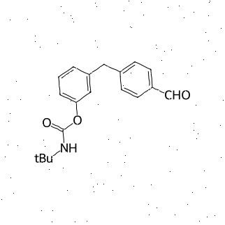 CC(C)(C)NC(=O)Oc1cccc(Cc2ccc(C=O)cc2)c1